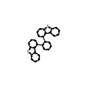 c1ccc(-c2cccc3sc4ccccc4c23)c(-c2cccc3sc4ccccc4c23)c1